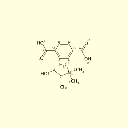 C[N+](C)(C)CCO.O=C(O)c1ccc(C(=O)O)cc1.[Cl-]